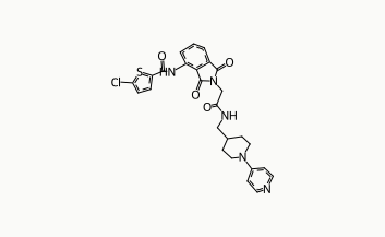 O=C(CN1C(=O)c2cccc(NC(=O)c3ccc(Cl)s3)c2C1=O)NCC1CCN(c2ccncc2)CC1